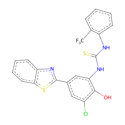 Oc1c(Cl)cc(-c2nc3ccccc3s2)cc1NC(=S)Nc1ccccc1C(F)(F)F